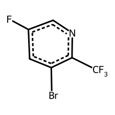 Fc1cnc(C(F)(F)F)c(Br)c1